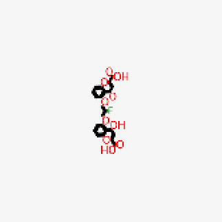 O=C(O)C1=CC(O)c2c(OCC(F)COc3cccc4oc(C(=O)O)cc(=O)c34)cccc2O1